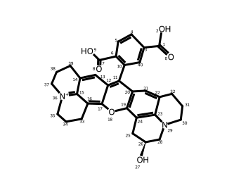 O=C(O)c1ccc(C(=O)O)c(C2=c3cc4c5c(c3Oc3c2cc2c6c3C[C@H](O)CN6CCC2)CCC[N+]=5CCC4)c1